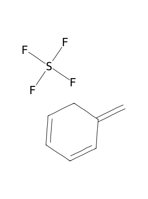 C=C1C=CC=CC1.FS(F)(F)F